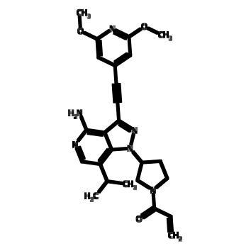 C=CC(=O)N1CCC(n2nc(C#Cc3cc(OC)nc(OC)c3)c3c(N)ncc(C(C)C)c32)C1